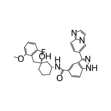 COc1cccc(F)c1C[C@@]1(O)CCC[C@@H](NC(=O)c2ccc3[nH]nc(-c4ccc5nccn5c4)c3c2)C1